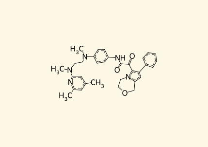 Cc1cc(C)nc(N(C)CCN(C)c2ccc(NC(=O)C(=O)c3c(-c4ccccc4)cc4n3CCOC4)cc2)c1